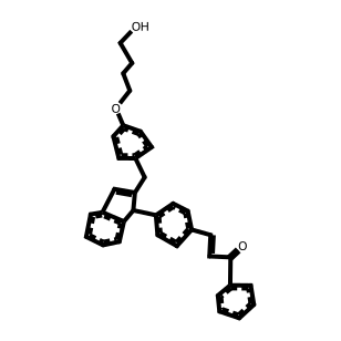 O=C(C=Cc1ccc(C2C(Cc3ccc(OCCCCO)cc3)=Cc3ccccc32)cc1)c1ccccc1